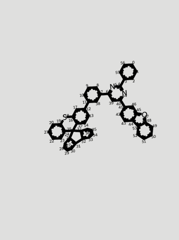 c1ccc(-c2nc(-c3cccc(-c4ccc5c(c4)Sc4ccccc4C54c5ccccc5-c5ccccc54)c3)cc(-c3ccc4c(c3)oc3ccccc34)n2)cc1